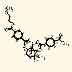 COCCOC(=O)c1ccc(C(=O)OC2CC3CC(OC(=O)c4ccc(C(C)=O)cc4)C2(C)OC3(C)C)cc1